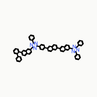 c1ccc(-c2nc(-c3ccccc3)nc(-c3ccc4cc(-c5ccc6cc(-c7ccc(-c8nc(-c9ccccc9)nc(-c9ccc%10ccc(-c%11ccccc%11-c%11ccccc%11)cc%10c9)n8)cc7)ccc6c5)ccc4c3)n2)cc1